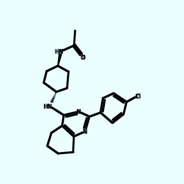 CC(=O)N[C@H]1CC[C@H](Nc2nc(-c3ccc(Cl)cc3)nc3c2CCCC3)CC1